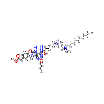 CCCCCCCCCCCCN(CC)CCCN(CC)CCCCCC(=O)Nc1nc(OCCCC)nc2c1[nH]c(=O)n2Cc1cccc(CC(=O)OC)c1